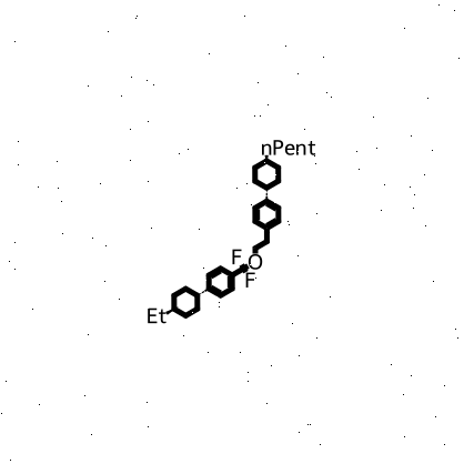 CCCCC[C@H]1CC[C@H](c2ccc(CCOC(F)(F)c3ccc([C@H]4CC[C@H](CC)CC4)cc3)cc2)CC1